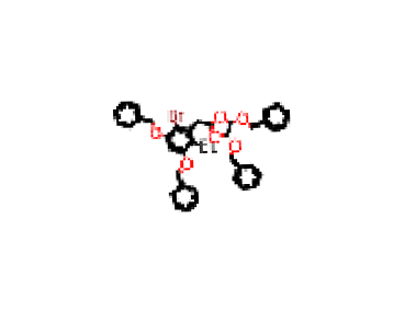 CCc1c(OCc2ccccc2)cc(OCc2ccccc2)c(Br)c1CC1O[C@H](OCc2ccccc2)[C@@H](OCc2ccccc2)O1